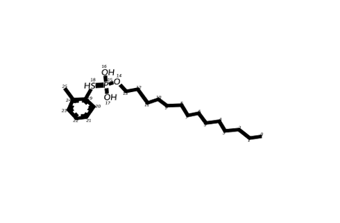 CCCCCCCCCCCCCCOP(O)(O)=[SH]c1ccccc1C